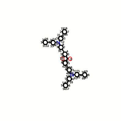 O=c1c2ccc(-c3ccc(N(c4ccc(-c5ccccc5)cc4)c4ccc(-c5ccccc5)cc4)cc3)cc2oc2ccc(-c3ccc(N(c4ccc(-c5ccccc5)cc4)c4ccc(-c5ccccc5)cc4)cc3)cc12